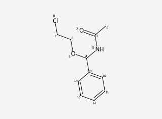 CC(=O)NC(OCCCl)c1ccccc1